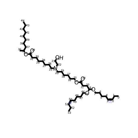 CC/C=C\CCCCOC(CCC(=O)OCCCCCCN(CCO)CCCCCCCC(=O)OC(C)CCCCCCCC)OCCCC/C=C\CC